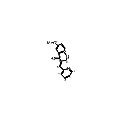 COc1ccc2c(c1)C(=O)/C(=C/c1ccccn1)CO2